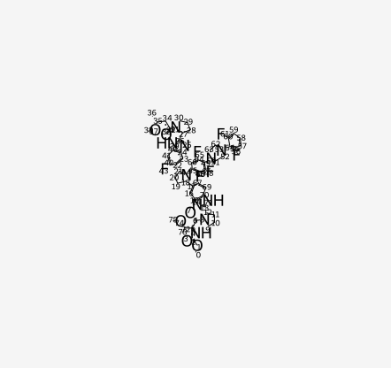 COC(=O)N[C@H](C(=O)N1CCC[C@H]1c1nc2cc([C@H]3CC[C@H](c4cc5nc([C@@H]6CCCN6C(=O)[CH][C@@H](C)OC)[nH]c5cc4F)N3c3cc(F)c(N4CCN(c5c(F)cccc5F)CC4)c(F)c3)c(F)cc2[nH]1)[C@@H](C)OC